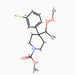 CCOOC(C#N)C1(c2cccc(F)c2)CCN(C(=O)OC(C)(C)C)CC1